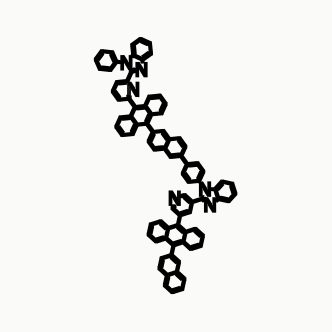 c1ccc(-n2c(-c3cccc(-c4c5ccccc5c(-c5ccc6cc(-c7ccc(-n8c(-c9cncc(-c%10c%11ccccc%11c(-c%11ccc%12ccccc%12c%11)c%11ccccc%10%11)c9)nc9ccccc98)cc7)ccc6c5)c5ccccc45)n3)nc3ccccc32)cc1